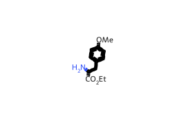 CCOC(=O)C(N)Cc1ccc(OC)cc1